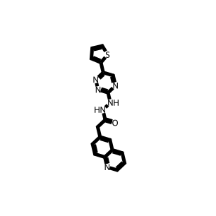 O=C(Cc1ccc2ncccc2c1)NNc1ncc(-c2cccs2)nn1